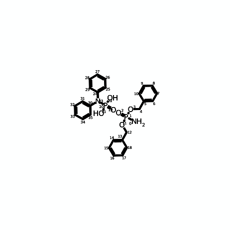 NP(=O)(OCc1ccccc1)OCc1ccccc1.O=P(O)(O)N(c1ccccc1)c1ccccc1